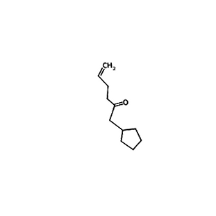 C=CCCC(=O)CC1CCCC1